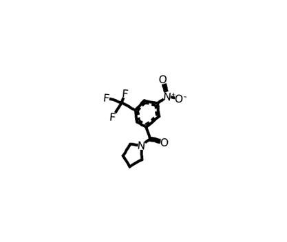 O=C(c1cc([N+](=O)[O-])cc(C(F)(F)F)c1)N1CCCC1